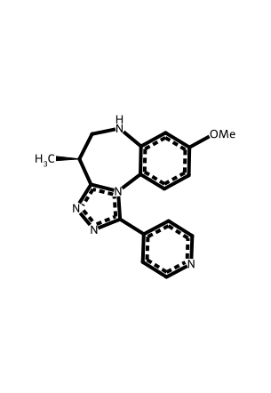 COc1ccc2c(c1)NC[C@H](C)c1nnc(-c3ccncc3)n1-2